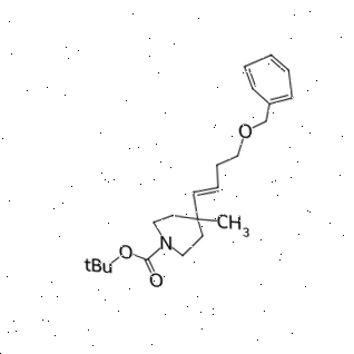 CC1(/C=C/CCOCc2ccccc2)CCN(C(=O)OC(C)(C)C)CC1